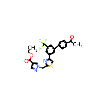 CCOC(=O)c1cnn(Cc2nc(-c3cc(-c4ccc(C(C)=O)cc4)cc(C(F)(F)F)c3)cs2)c1